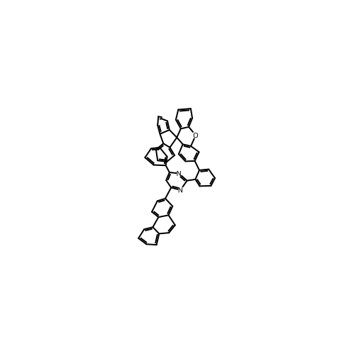 c1ccc(-c2cc(-c3ccc4c(ccc5ccccc54)c3)nc(-c3ccccc3-c3ccc4c(c3)Oc3ccccc3C43c4ccccc4-c4ccccc43)n2)cc1